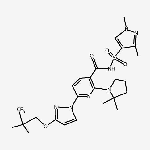 Cc1nn(C)cc1S(=O)(=O)NC(=O)c1ccc(-n2ccc(OCC(C)(C)C(F)(F)F)n2)nc1N1CCCC1(C)C